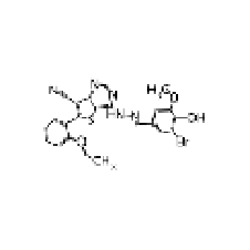 CCOc1ccccc1-c1sc2c(NN=Cc3cc(Br)c(O)c(OC)c3)ncnc2c1C#N